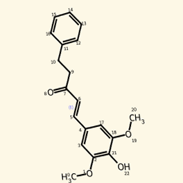 COc1cc(/C=C/C(=O)CCc2ccccc2)cc(OC)c1O